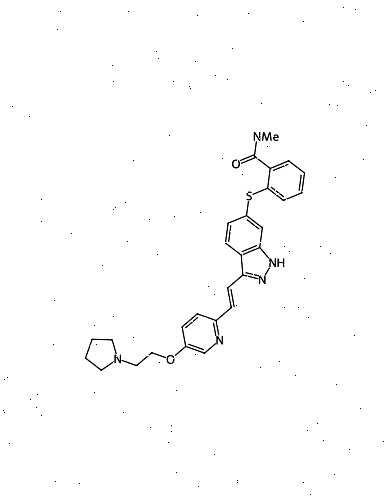 CNC(=O)c1ccccc1Sc1ccc2c(/C=C/c3ccc(OCCN4CCCC4)cn3)n[nH]c2c1